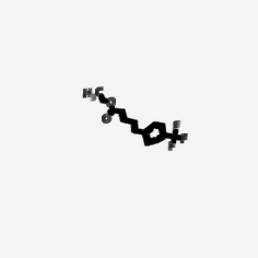 CCOC(=O)C=CC=Cc1ccc(C(F)(F)F)cc1